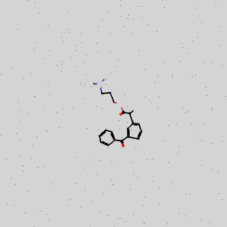 CC(C(=O)OCCCN(C)C)c1cccc(C(=O)c2ccccc2)c1